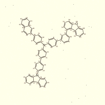 c1cc(-c2ccc(N(c3ccc(-c4ccc(-n5c6ccccc6c6ccccc65)cc4)cc3)c3ccc(-c4ccc5ccccc5c4)cc3)cc2)cc(-c2cccc3oc4ccccc4c23)c1